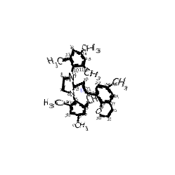 Cc1cc(C)c(N2CCN(c3c(C)cc(C)cc3C)C2/C=C/c2cc(C)cc3c2OCC=C3)c(C)c1